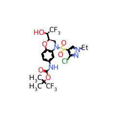 CCn1cc(S(=O)(=O)N2C[C@H]([C@@H](O)C(F)(F)F)Oc3ccc(NC(=O)OC(C)(C)C(F)(F)F)cc32)c(Cl)n1